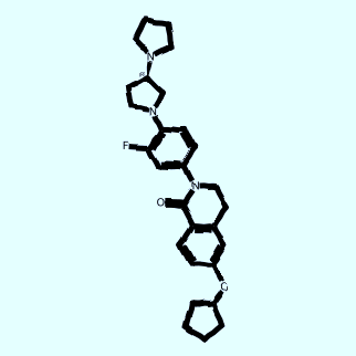 O=C1c2ccc(OC3CCCC3)cc2CCN1c1ccc(N2CC[C@@H](N3CCCC3)C2)c(F)c1